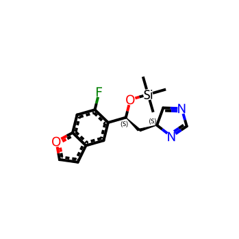 C[Si](C)(C)O[C@@H](C[C@H]1C=NC=N1)c1cc2ccoc2cc1F